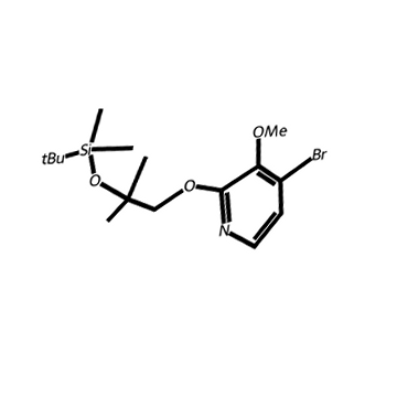 COc1c(Br)ccnc1OCC(C)(C)O[Si](C)(C)C(C)(C)C